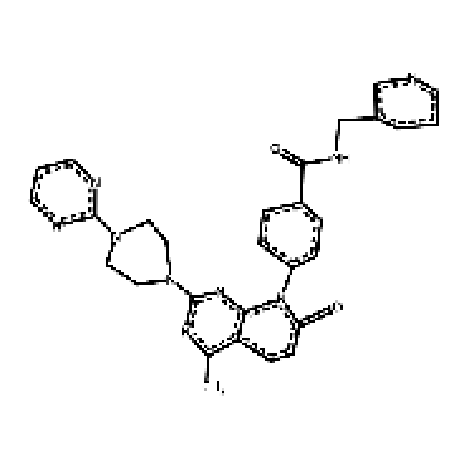 Cc1nc(N2CCN(c3ncccn3)CC2)nc2c1ccc(=O)n2-c1ccc(C(=O)NCc2cccnc2)cc1